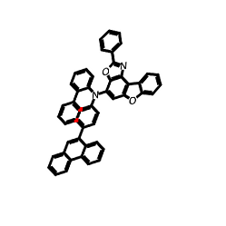 c1ccc(-c2nc3c(o2)c(N(c2ccc(-c4cc5ccccc5c5ccccc45)cc2)c2ccccc2-c2ccccc2)cc2oc4ccccc4c23)cc1